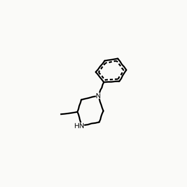 CC1CN(c2ccccc2)CCN1